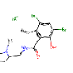 CCN1CCCC1CNC(=O)c1c(O)c(Br)cc(Br)c1OC.Cl